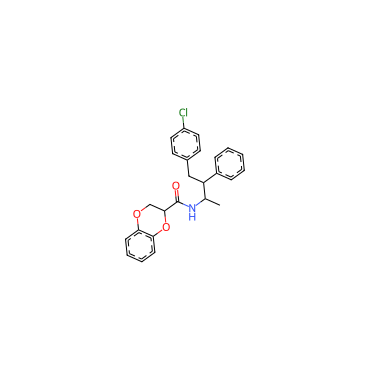 CC(NC(=O)C1COc2ccccc2O1)C(Cc1ccc(Cl)cc1)c1ccccc1